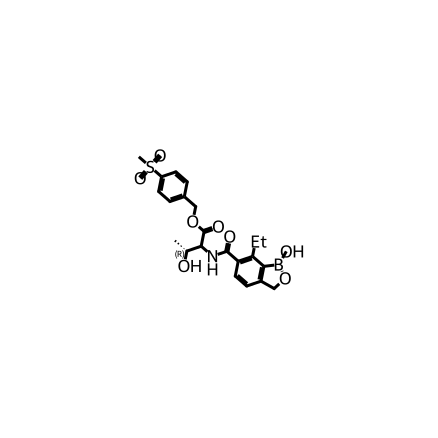 CCc1c(C(=O)NC(C(=O)OCc2ccc(S(C)(=O)=O)cc2)[C@@H](C)O)ccc2c1B(O)OC2